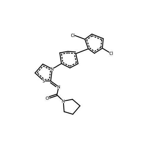 O=C(N=c1sccn1-c1ccc(-c2cc(Cl)ccc2Cl)cc1)N1CCCC1